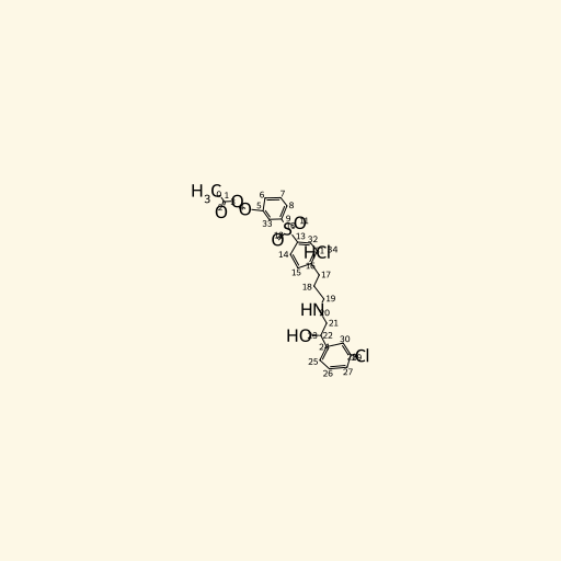 CC(=O)OOc1cccc(S(=O)(=O)c2ccc(CCCNC[C@H](O)c3cccc(Cl)c3)cc2)c1.Cl